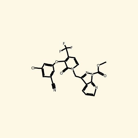 COC(=O)n1nc(Cn2ccc(C(F)(F)F)c(Oc3cc(Cl)cc(C#N)c3)c2=O)c2cccnc21